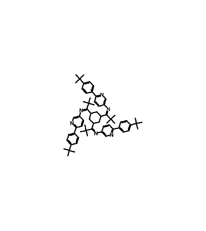 CC(C)(C)/C(=N/c1ccc(-c2ccc(C(C)(C)C)cc2)nc1)C1CC(/C(=N\c2ccc(-c3ccc(C(C)(C)C)cc3)nc2)C(C)(C)C)CC(/C(=N\c2ccc(-c3ccc(C(C)(C)C)cc3)nc2)C(C)(C)C)C1